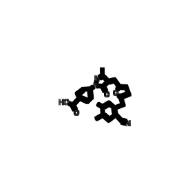 CC1=NN(c2ccc(C(=O)O)cc2)C(=O)C1=Cc1ccc(Cc2cc(C)c(C)cc2C#N)o1